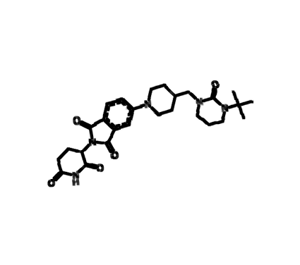 CC(C)(C)N1CCCN(CC2CCN(c3ccc4c(c3)C(=O)N(C3CCC(=O)NC3=O)C4=O)CC2)C1=O